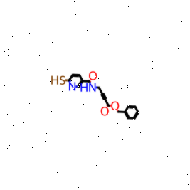 O=C(C#CCNC(=O)c1ccc(S)nc1)OCc1ccccc1